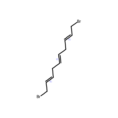 BrC/C=C/C/C=C/C/C=C/CBr